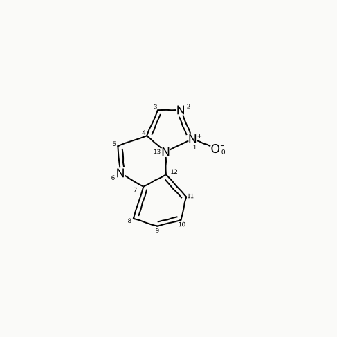 [O-][n+]1ncc2cnc3ccccc3n21